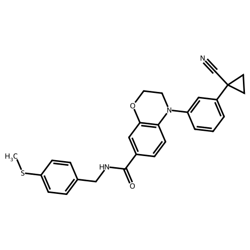 CSc1ccc(CNC(=O)c2ccc3c(c2)OCCN3c2cccc(C3(C#N)CC3)c2)cc1